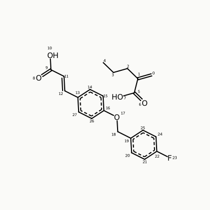 C=C(CCC)C(=O)O.O=C(O)C=Cc1ccc(OCc2ccc(F)cc2)cc1